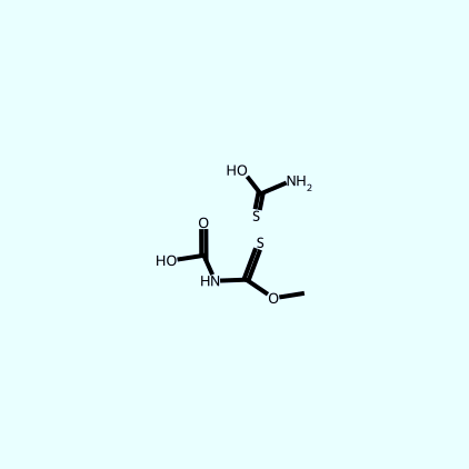 COC(=S)NC(=O)O.NC(O)=S